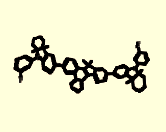 CC1(C)c2cc(-c3ccc4c(c3)C3(C)CCCCC3(C)N4c3cccc(F)c3)ccc2-c2c1c1ccc(-c3ccc4c(c3)C3(C)CCCCC3(C)N4c3cccc(F)c3)cc1c1ccccc21